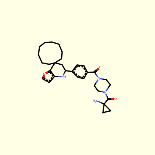 NC1(C(=O)N2CCN(C(=O)c3ccc(C4CC5(CCCCCCCCC5)c5occc5N4)cc3)CC2)CC1